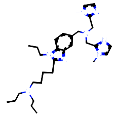 CCCN(CCC)CCCCc1nc2cc(CN(Cc3ncc[nH]3)Cc3nccn3C)ccc2n1CCC